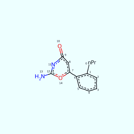 CCCc1ccccc1-c1cc(=O)nc(N)o1